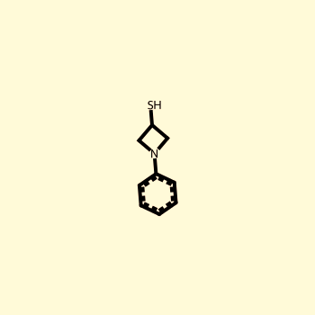 SC1CN(c2ccccc2)C1